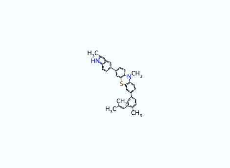 CC(C)=Cc1cc(-c2ccc3c(c2)Sc2cc(-c4ccc5[nH]c(C)cc5c4)ccc2N3C)ccc1C